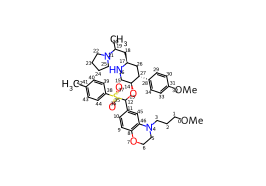 COCCCN1CCOc2ccc(C(O[C@H]3CN[C@@H](CC(C)N4CCCC4)C[C@@H]3c3ccc(OC)cc3)S(=O)(=O)c3ccc(C)cc3)cc21